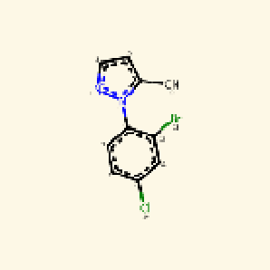 N#Cc1ccnn1-c1ccc(Cl)cc1Br